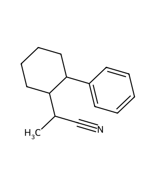 CC(C#N)C1CCCCC1c1ccccc1